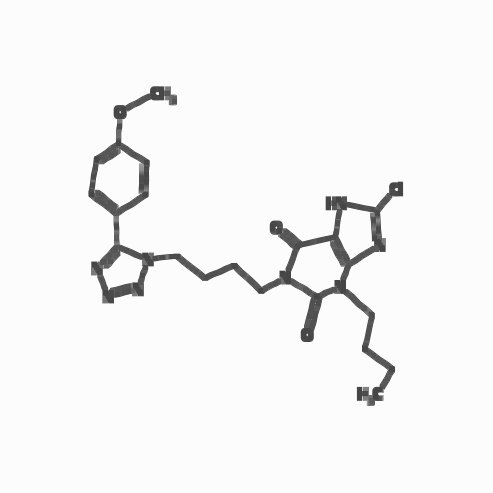 CCCCn1c(=O)n(CCCCn2nnnc2-c2ccc(OC)cc2)c(=O)c2[nH]c(Cl)nc21